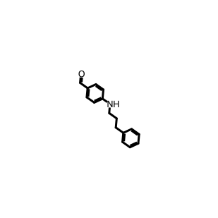 O=Cc1ccc(NCCCc2ccccc2)cc1